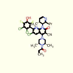 C=CC(=O)N1[C@H](C)CN(c2c(C#N)c(=O)n(C3C(C(C)C)=NC=C[C@H]3C)c3nc(-c4c(F)c(O)c(F)c(Cl)c4Cl)c(Cl)cc23)C[C@@H]1C